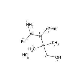 CCCCCN(C(N)CC)C(C)(C)CO.Cl